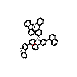 c1ccc(-c2ccc(-c3cccc4ccccc34)cc2N(c2ccc(-c3ccc4sc5ccccc5c4c3)cc2)c2ccc(-c3ccccc3-n3c4ccccc4c4ccccc43)cc2)cc1